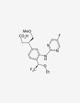 CCO[C@H](c1ccc([C@H](COC)CC(=O)O)cc1Nc1ncc(F)cn1)C(F)(F)F